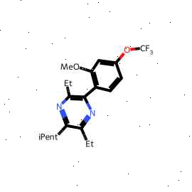 CCCC(C)c1nc(CC)c(-c2ccc(OC(F)(F)F)cc2OC)nc1CC